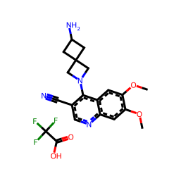 COc1cc2ncc(C#N)c(N3CC4(CC(N)C4)C3)c2cc1OC.O=C(O)C(F)(F)F